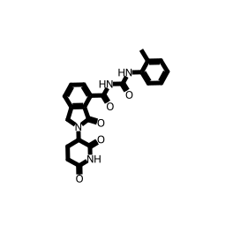 Cc1ccccc1NC(=O)NC(=O)c1cccc2c1C(=O)N(C1CCC(=O)NC1=O)C2